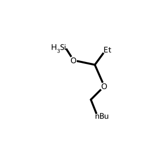 CCCCCOC(CC)O[SiH3]